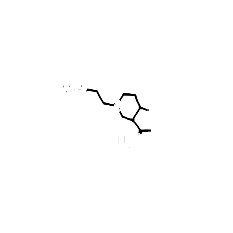 C=C(C)C1CN(CCNC)CCC1C